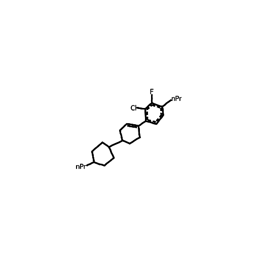 CCCc1ccc(C2=CCC(C3CCC(CCC)CC3)CC2)c(Cl)c1F